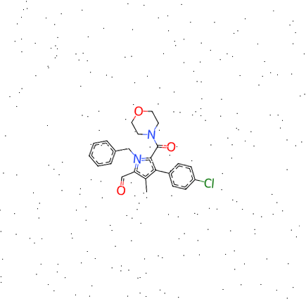 Cc1c(-c2ccc(Cl)cc2)c(C(=O)N2CCOCC2)n(Cc2ccccc2)c1C=O